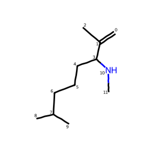 C=C(C)C(CCCC(C)C)NC